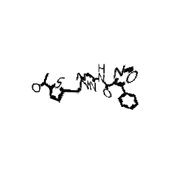 CC(=O)c1ccc(Cn2ncc(NC(=O)c3ncoc3-c3ccccc3)n2)s1